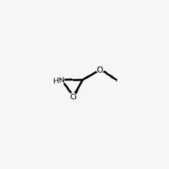 COC1NO1